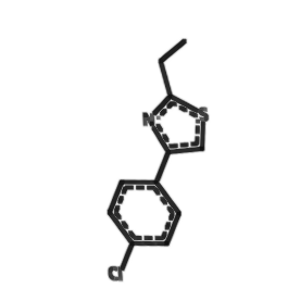 CCc1nc(-c2ccc(Cl)cc2)cs1